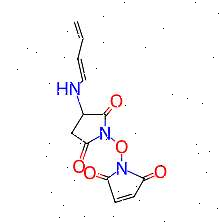 C=C/C=C/NC1CC(=O)N(ON2C(=O)C=CC2=O)C1=O